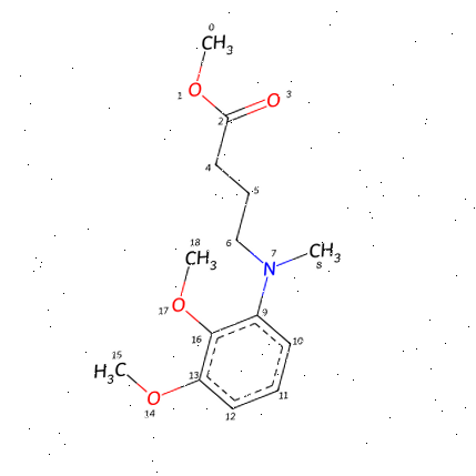 COC(=O)CCCN(C)c1cccc(OC)c1OC